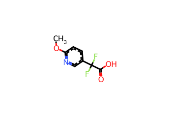 COc1ccc(C(F)(F)C(=O)O)cn1